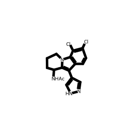 CC(=O)NC1CCCn2c1c(-c1cn[nH]c1)c1ccc(Cl)c(Cl)c12